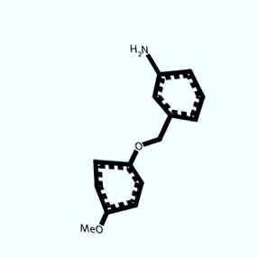 COc1ccc(OCc2cccc(N)c2)cc1